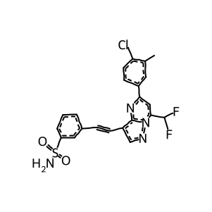 Cc1cc(-c2cc(C(F)F)n3ncc(C#Cc4cccc(S(N)(=O)=O)c4)c3n2)ccc1Cl